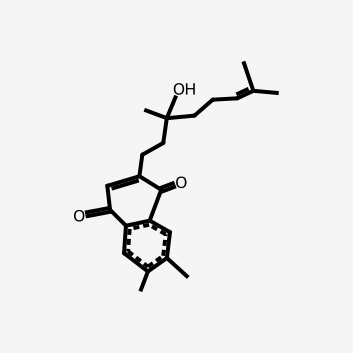 CC(C)=CCCC(C)(O)CCC1=CC(=O)c2cc(C)c(C)cc2C1=O